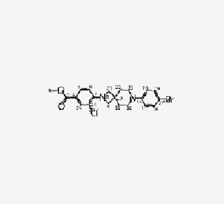 COC(=O)c1ccc(N2CC3(CCN(c4ccc(Br)cc4)CC3)C2)c(Cl)c1